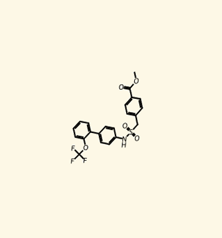 COC(=O)c1ccc(CS(=O)(=O)Nc2ccc(-c3ccccc3OC(F)(F)F)cc2)cc1